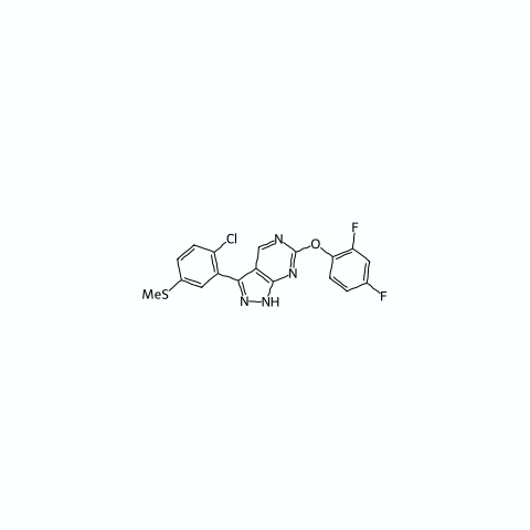 CSc1ccc(Cl)c(-c2n[nH]c3nc(Oc4ccc(F)cc4F)ncc23)c1